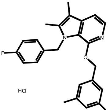 Cc1cc(C)cc(COc2nccc3c(C)c(C)n(Cc4ccc(F)cc4)c23)c1.Cl